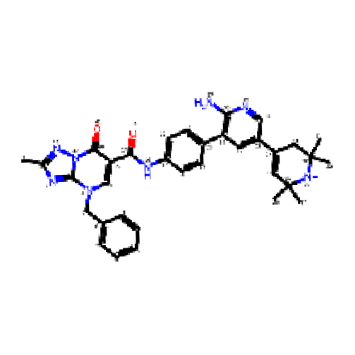 Cc1nc2n(Cc3ccccc3)cc(C(=O)Nc3ccc(-c4cc(C5=CC(C)(C)NC(C)(C)C5)cnc4N)cc3)c(=O)n2n1